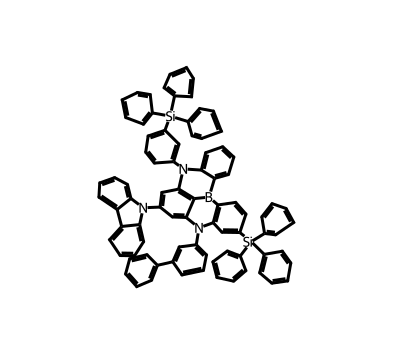 c1ccc(-c2cccc(N3c4cc([Si](c5ccccc5)(c5ccccc5)c5ccccc5)ccc4B4c5ccccc5N(c5cccc([Si](c6ccccc6)(c6ccccc6)c6ccccc6)c5)c5cc(-n6c7ccccc7c7ccccc76)cc3c54)c2)cc1